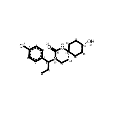 CCC(c1ccc(Cl)cc1)N1CC[C@]2(CC[C@@H](O)CC2)OC1=O